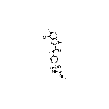 Cc1ccc2c(cc(C(=O)Nc3ccc(S(=O)(=O)NC(N)=O)cc3)n2C)c1Cl